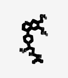 COc1cc2nccc(N3CCN(C(C)CNN[SH](=O)=O)CC3)c2cc1OC